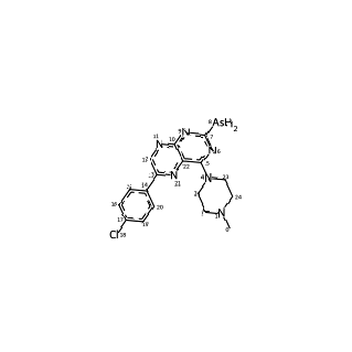 CN1CCN(c2nc([AsH2])nc3ncc(-c4ccc(Cl)cc4)nc23)CC1